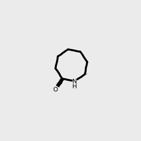 O=C1CCCCC[CH]N1